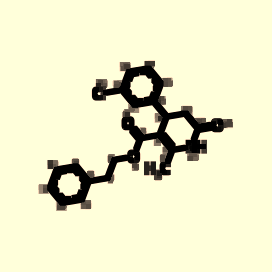 CC1=C(C(=O)OCCc2ccccc2)C(c2cccc(Cl)c2)CC(=O)N1